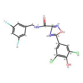 O=C(NCc1cc(F)cc(F)c1)c1noc(-c2cc(Cl)c(O)c(Cl)c2)n1